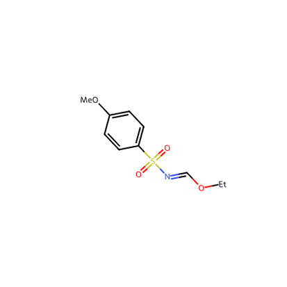 CCOC=NS(=O)(=O)c1ccc(OC)cc1